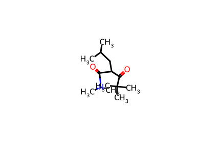 CC(C)CC(C(=O)N(C)C)C(=O)C(C)(C)C